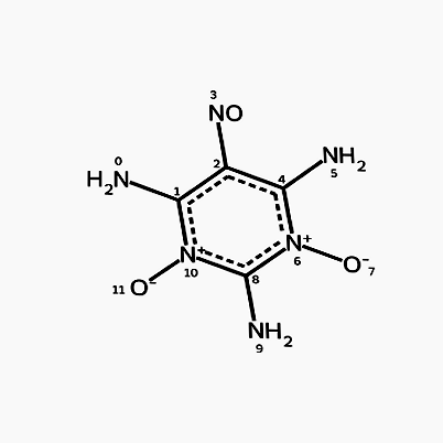 Nc1c(N=O)c(N)[n+]([O-])c(N)[n+]1[O-]